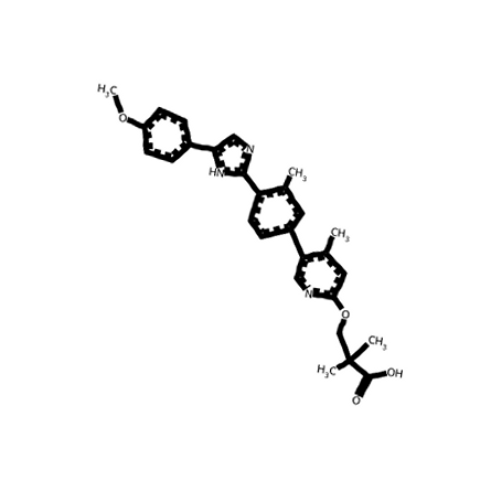 COc1ccc(-c2cnc(-c3ccc(-c4cnc(OCC(C)(C)C(=O)O)cc4C)cc3C)[nH]2)cc1